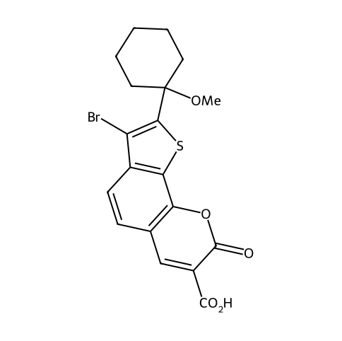 COC1(c2sc3c(ccc4cc(C(=O)O)c(=O)oc43)c2Br)CCCCC1